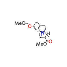 COCOc1ccc2c(c1)[C@]1(C)CC3C(C(=O)OC)[C@H](C)C1C(C2)N3C